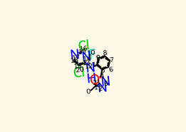 Cc1nnc(-c2cccc(F)c2Nc2nc(Cl)ncc2Cl)o1